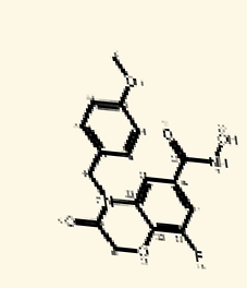 COc1ccc(CN2C(=O)COc3c(F)cc(C(=O)NO)cc32)cc1